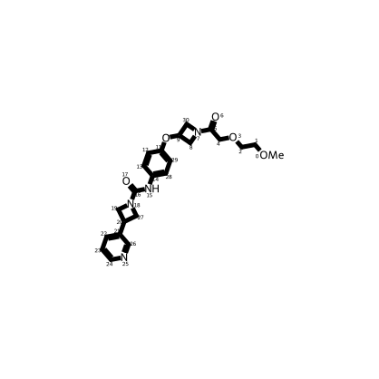 COCCOCC(=O)N1CC(Oc2ccc(NC(=O)N3CC(c4cccnc4)C3)cc2)C1